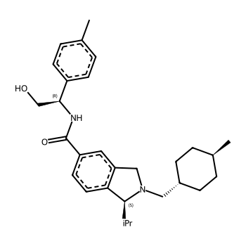 Cc1ccc([C@H](CO)NC(=O)c2ccc3c(c2)CN(C[C@H]2CC[C@H](C)CC2)[C@H]3C(C)C)cc1